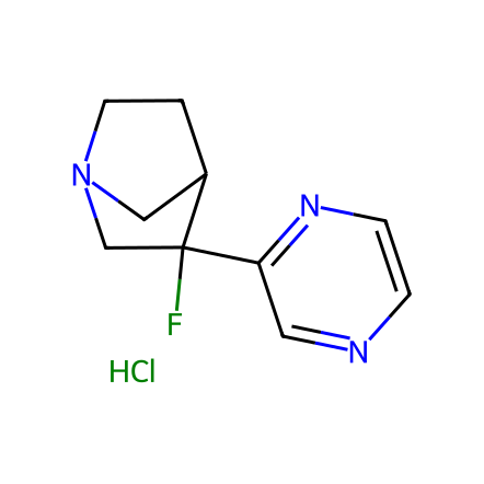 Cl.FC1(c2cnccn2)CN2CCC1C2